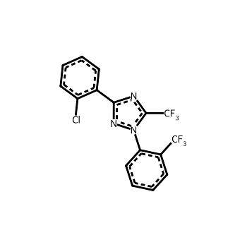 FC(F)(F)c1ccccc1-n1nc(-c2ccccc2Cl)nc1C(F)(F)F